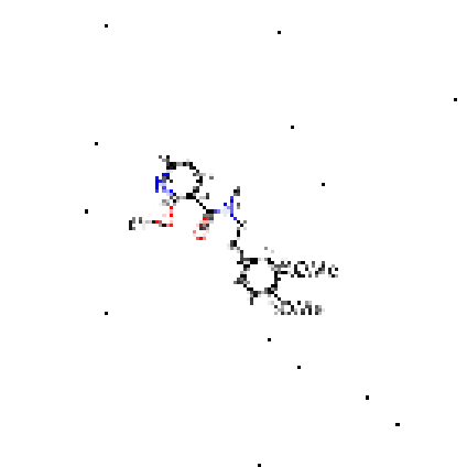 COc1ccc(CCN(C)C(=O)c2cccnc2OC(C)C)cc1OC